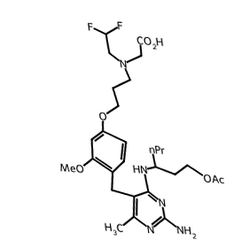 CCCC(CCOC(C)=O)Nc1nc(N)nc(C)c1Cc1ccc(OCCCN(CC(=O)O)CC(F)F)cc1OC